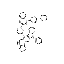 c1ccc(-c2ccc(-c3nc(-c4cccc(-c5c6cnc7ccccc7c6cc6c5c5ccccc5n6-c5ccccc5)c4)nc4ccccc34)cc2)cc1